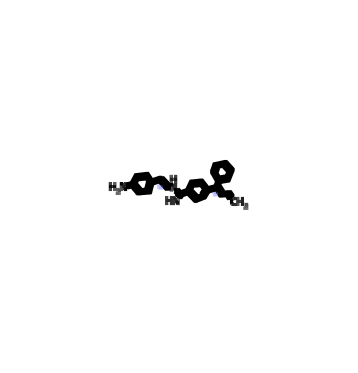 C=C/C=C(\c1ccccc1)c1ccc(C(=N)N/C=C/c2ccc(N)cc2)cc1